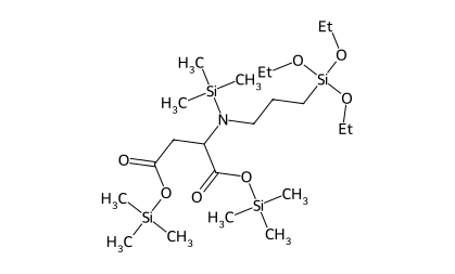 CCO[Si](CCCN(C(CC(=O)O[Si](C)(C)C)C(=O)O[Si](C)(C)C)[Si](C)(C)C)(OCC)OCC